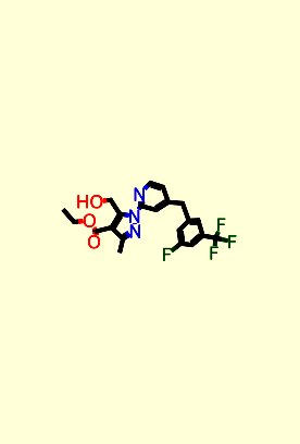 CCOC(=O)c1c(C)nn(-c2cc(Cc3cc(F)cc(C(F)(F)F)c3)ccn2)c1CO